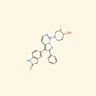 O=C1Cc2cc(-c3c(-c4ccccc4)nn4c(N5CCC(O)C(F)C5)nccc34)ccc2N1